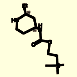 CC[C@H]1C[C@@H](NC(=O)OCC[Si](C)(C)C)CCN1